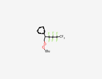 CC(C)(C)OOCC(c1ccccc1)C(F)(F)C(F)(F)C(F)(F)C(F)(F)F